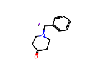 CI.O=C1CCN(Cc2ccccc2)CC1